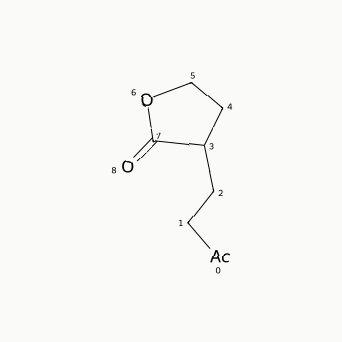 CC(=O)CCC1CCOC1=O